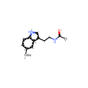 CCC(=O)NCCc1c[nH]c2ccc(OC)cc12